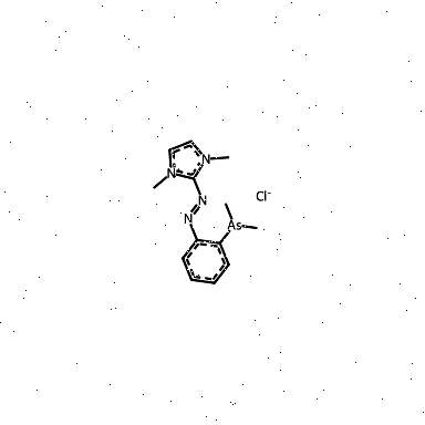 Cn1cc[n+](C)c1N=Nc1ccccc1[As](C)C.[Cl-]